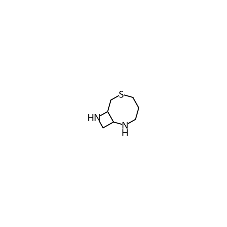 C1CNC2CNC2CSC1